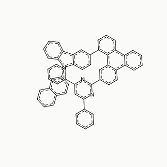 c1ccc(-c2cc(-c3ccccc3)nc(-c3ccc4c5ccccc5c5cccc(-c6ccc7c(c6)c6ccccc6n7-c6ccc7ccccc7c6)c5c4c3)n2)cc1